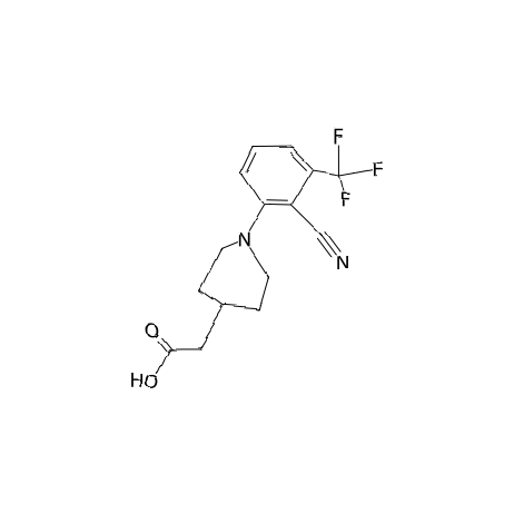 N#Cc1c(N2CCC(CC(=O)O)CC2)cccc1C(F)(F)F